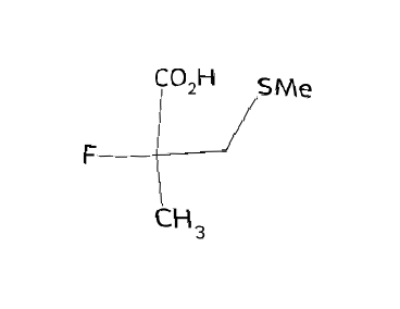 CSCC(C)(F)C(=O)O